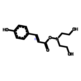 O=C(/C=C/c1ccc(O)cc1)ON(CCO)CCO